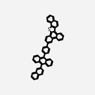 c1ccc2cc(-c3c4ccccc4c(-c4ccc(-c5ccc6c(c5)c5ccccc5c5c7ccc8ccccc8c7sc65)cc4)c4ccccc34)ccc2c1